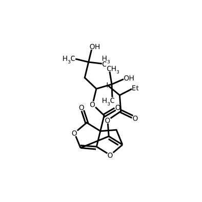 CCC(I)C(=O)Oc1c2oc3c1OC(=O)C3(C(=O)OC(CC(C)(C)O)C(C)(C)O)C2